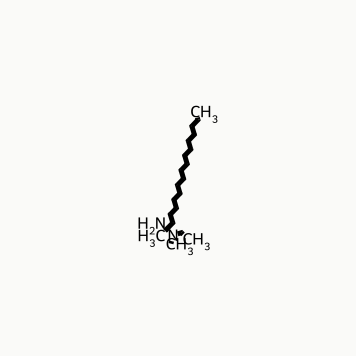 CCCCCCCCCCCCCCCCC(C)(N)N(C)CC